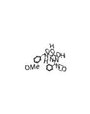 COc1cccc(CNC(=O)c2nc(C(c3ccccc3)N3CCOCC3)nc(O)c2O)c1